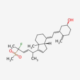 C=C1CC[C@H](O)C/C1=C/C=C1\CCCC2(C)C(C(C)/C=C/C(C)(F)S(C)(=O)=O)=CC[C@@H]12